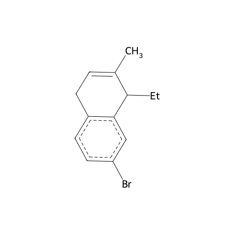 CCC1C(C)=CCc2ccc(Br)cc21